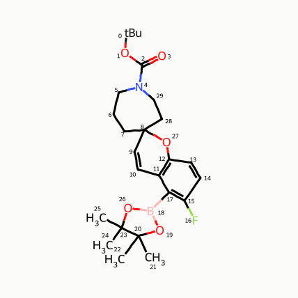 CC(C)(C)OC(=O)N1CCCC2(C=Cc3c(ccc(F)c3B3OC(C)(C)C(C)(C)O3)O2)CC1